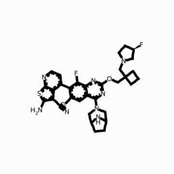 N#Cc1c(N)sc2nccc(-c3c(Cl)cc4c(N5CC6CCC(C5)N6)nc(OCC5(CN6CC[C@@H](F)C6)CCC5)nc4c3F)c12